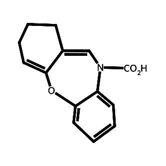 O=C(O)N1C=C2CCCC=C2Oc2ccccc21